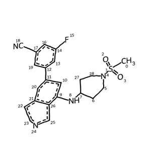 CS(=O)(=O)N1CCC(Nc2cc(-c3cc(F)cc(C#N)c3)cc3ccncc23)CC1